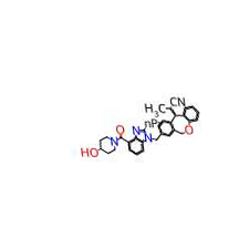 CCCc1nc2c(C(=O)N3CCC(O)CC3)cccc2n1Cc1ccc2c(c1)COc1ccccc1C2=C(C)C#N